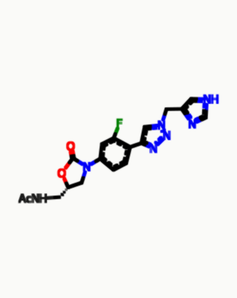 CC(=O)NC[C@H]1CN(c2ccc(-c3cn(Cc4c[nH]cn4)nn3)c(F)c2)C(=O)O1